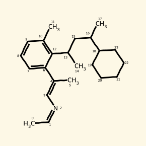 C/C=N\C=C(/C)c1cccc(C)c1C(C)CC(C)C1CCCCC1